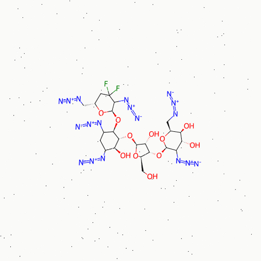 [N-]=[N+]=NC[C@@H]1CC(F)(F)C(N=[N+]=[N-])[C@@H](O[C@@H]2C(N=[N+]=[N-])CC(N=[N+]=[N-])[C@H](O)[C@H]2O[C@@H]2O[C@H](CO)[C@@H](O[C@H]3O[C@@H](CN=[N+]=[N-])[C@@H](O)[C@H](O)C3N=[N+]=[N-])[C@H]2O)O1